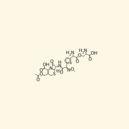 CO/N=C(/C(=O)N[C@@H]1C(=O)N2C(C(=O)O)=C(COC(C)=O)CS[C@H]12)c1ccc(C(N)C(=O)OC[C@@H](N)C(=O)O)s1